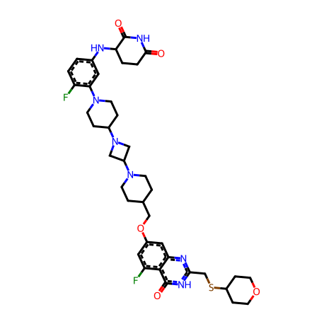 O=C1CCC(Nc2ccc(F)c(N3CCC(N4CC(N5CCC(COc6cc(F)c7c(=O)[nH]c(CSC8CCOCC8)nc7c6)CC5)C4)CC3)c2)C(=O)N1